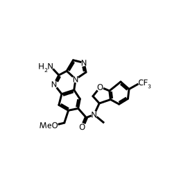 COCc1cc2nc(N)c3cncn3c2cc1C(=O)N(C)C1COc2cc(C(F)(F)F)ccc21